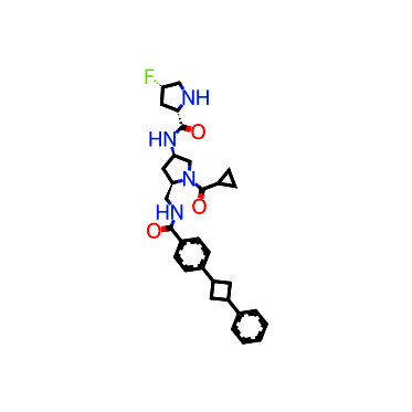 O=C(NC[C@H]1C[C@@H](NC(=O)[C@@H]2C[C@H](F)CN2)CN1C(=O)C1CC1)c1ccc(C2CC(c3ccccc3)C2)cc1